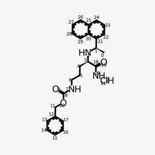 C[C@@H](N[C@H](CCCNC(=O)OCc1ccccc1)C(N)=O)c1cccc2ccccc12.Cl